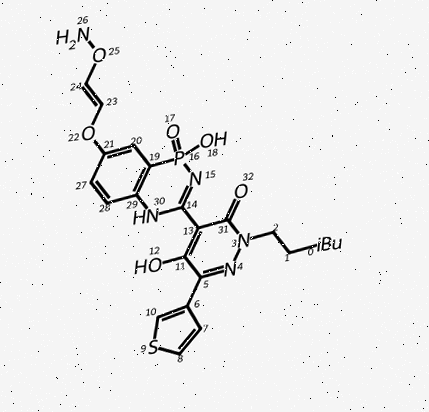 CCC(C)CCn1nc(-c2ccsc2)c(O)c(C2=NP(=O)(O)c3cc(O/C=C/ON)ccc3N2)c1=O